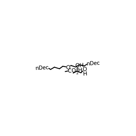 CC(=O)O.CC(O)CO.CCCCCCCCCCCCCCOCCCCCCCCCCCCCC